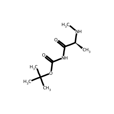 CN[C@@H](C)C(=O)NC(=O)OC(C)(C)C